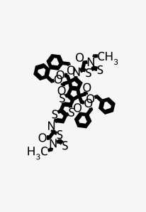 CCN1C(=O)/C(=N/C2=CC3=C(c4sc5c(sc6cc(/N=C7\SC(=S)N(CC)C7=O)sc65)c4C3(C(=O)OCc3ccccc3)C(=O)OCc3ccccc3)C2(C(=O)OCc2ccccc2)C(=O)OCc2ccccc2)SC1=S